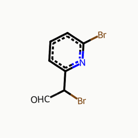 O=CC(Br)c1cccc(Br)n1